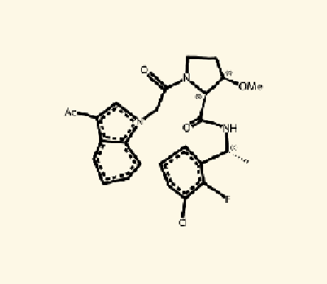 CO[C@@H]1CCN(C(=O)Cn2cc(C(C)=O)c3ccccc32)[C@@H]1C(=O)N[C@H](C)c1cccc(Cl)c1F